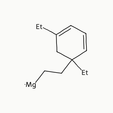 CCC1=CC=CC(CC)(C[CH2][Mg])C1